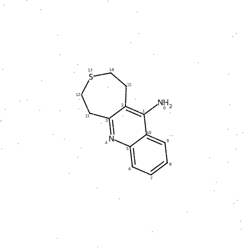 Nc1c2c(nc3ccccc13)CCSCC2